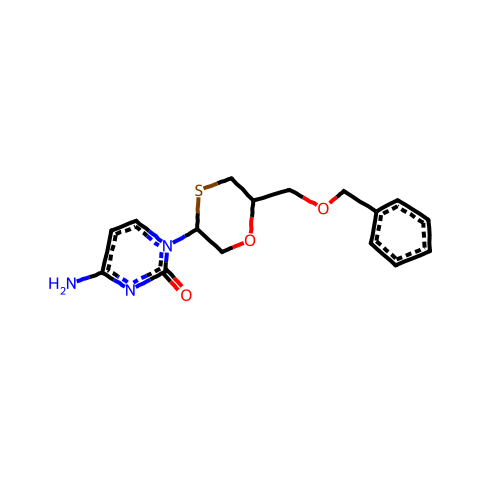 Nc1ccn(C2COC(COCc3ccccc3)CS2)c(=O)n1